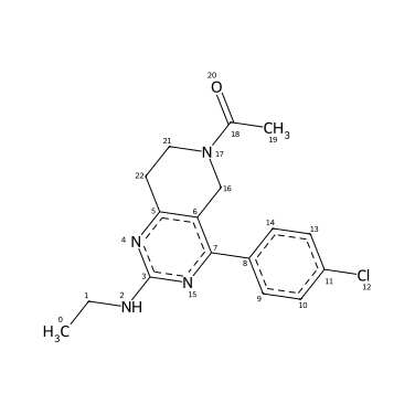 CCNc1nc2c(c(-c3ccc(Cl)cc3)n1)CN(C(C)=O)CC2